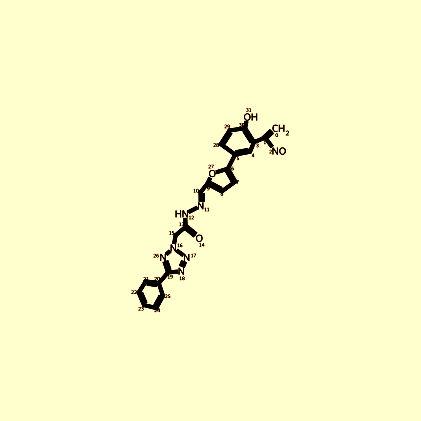 C=C(N=O)c1cc(-c2ccc(/C=N/NC(=O)Cn3nnc(-c4ccccc4)n3)o2)ccc1O